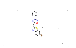 Brc1ccc2nc(Cc3nc(-c4ccccc4)no3)sc2c1